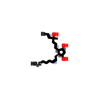 CC/C=C/C(C)(O)C/C=C/[C@@H]1[C@@H](C/C=C\CCCC(=O)O)[C@H](O)C[C@H]1O